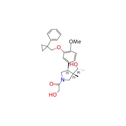 COc1ccc([C@@H]2CN(C(=O)CO)C[C@@]2(C)[C@@H](C)O)cc1OCC1(c2ccccc2)CC1